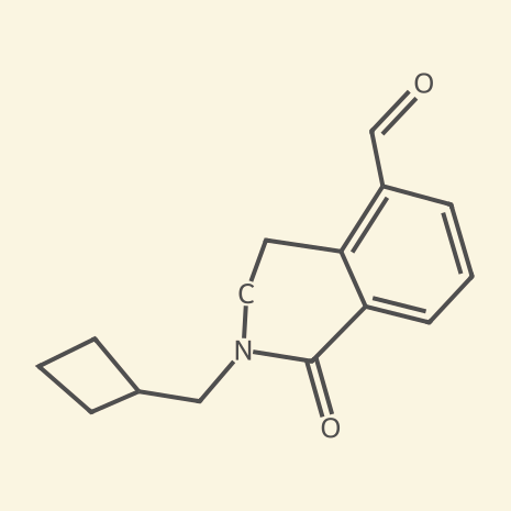 O=Cc1cccc2c1CCN(CC1CCC1)C2=O